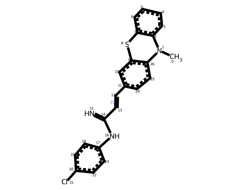 CN1c2ccccc2Sc2cc(/C=C/C(=N)Nc3ccc(Cl)cc3)ccc21